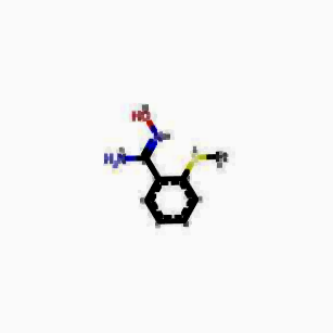 CCSc1ccccc1C(N)=NO